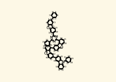 c1ccc(-c2ccc3oc4cc(-c5nc(-c6ccccc6)nc(-c6cccc7oc8ccc(-c9cccc%10oc%11ccc(-c%12ccc%13c(c%12)c%12ccccc%12n%13-c%12ccccc%12)cc%11c9%10)cc8c67)n5)ccc4c3c2)cc1